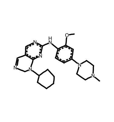 COc1cc(N2CCN(C)CC2)ccc1Nc1ncc2c(n1)N(C1CCCCC1)CN=C2